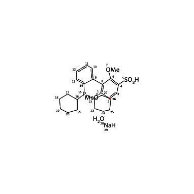 COc1ccc(S(=O)(=O)O)c(OC)c1-c1ccccc1P(C1CCCCC1)C1CCCCC1.O.[NaH]